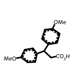 COc1ccc(C(CC(=O)O)c2ccc(OC)cc2)cc1